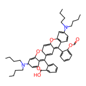 CCCCN(CCCC)c1ccc2c(-c3ccccc3OC=O)c3cc4c(-c5ccccc5C(=O)O)c5ccc(=[N+](CCCC)CCCC)cc5[o+]c4cc3oc2c1